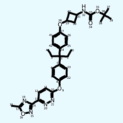 CCC(CC)(c1ccc(Oc2ccc(-c3noc(C)n3)nn2)cc1)c1ccc(OC2CC(NC(=O)OC(C)(C)C)C2)cc1